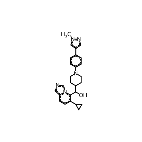 Cn1cc(-c2ccc(N3CCC(C(O)c4c(C5CC5)ccc5cncn45)CC3)cc2)cn1